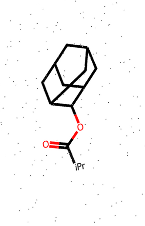 CC(C)C(=O)OC1C2CC3CC(C2)CC1C3